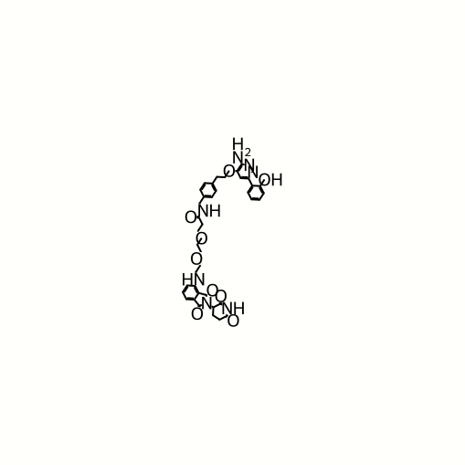 Nc1nnc(-c2ccccc2O)cc1OCCc1ccc(CNC(=O)CCOCCOCCNc2cccc3c2C(=O)N(C2CCC(=O)NC2=O)C3=O)cc1